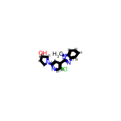 Cn1c(-c2cc(N3CC[C@H](O)C3)ncc2Cl)nc2ccccc21